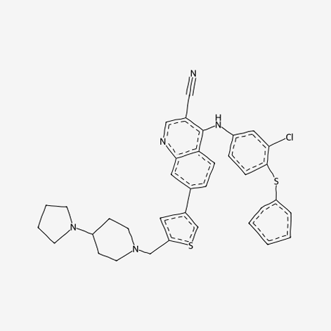 N#Cc1cnc2cc(-c3csc(CN4CCC(N5CCCC5)CC4)c3)ccc2c1Nc1ccc(Sc2ccccc2)c(Cl)c1